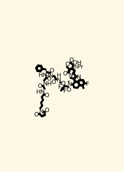 CCC[C@@]1(O)C(=O)OCc2c1cc1n(c2=O)Cc2c-1nc1cc(F)c(C)c3c1c2C(N(C)C(=O)[C@@H](OCNC(=O)CNC(=O)[C@H](Cc1ccccc1)NC(=O)CNC(=O)CNC(=O)CCCCCN1C(=O)C=CC1=O)C(C)(F)F)CC3